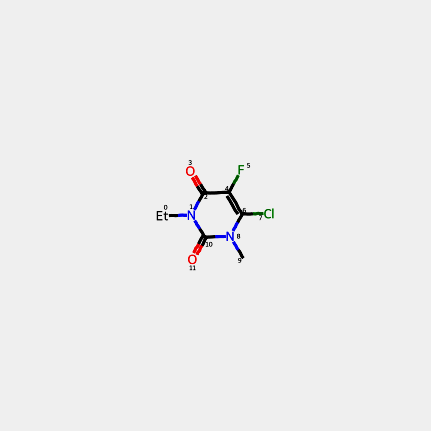 CCn1c(=O)c(F)c(Cl)n(C)c1=O